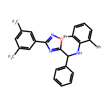 CC(C)c1cccc(C(C)C)c1NC(c1ccccc1)c1nc(-c2cc(C(F)(F)F)cc(C(F)(F)F)c2)no1